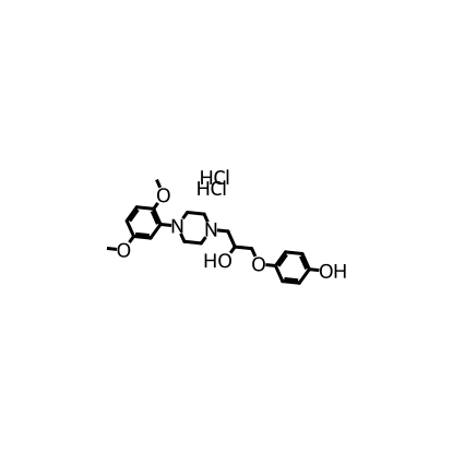 COc1ccc(OC)c(N2CCN(CC(O)COc3ccc(O)cc3)CC2)c1.Cl.Cl